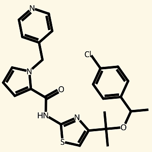 CC(OC(C)(C)c1csc(NC(=O)c2cccn2Cc2ccncc2)n1)c1ccc(Cl)cc1